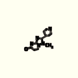 Cn1c(-c2ccncc2)nc2nc(=O)ccn21